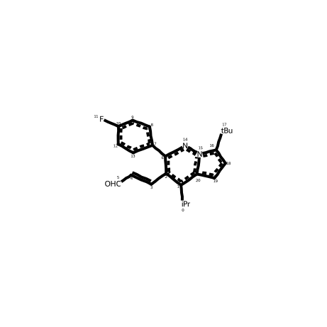 CC(C)c1c(/C=C/C=O)c(-c2ccc(F)cc2)nn2c(C(C)(C)C)ccc12